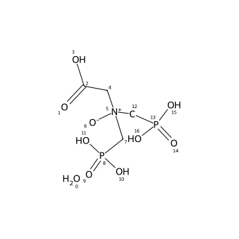 O.O=C(O)C[N+]([O-])(CP(=O)(O)O)CP(=O)(O)O